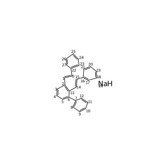 C(=Cc1cccc(-c2ccccc2)c1C=Cc1ccccc1)c1ccccc1.[NaH]